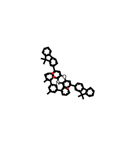 Cc1cc(-c2ccccc2C)c(N2c3ccc(-c4ccc5c(c4)C(C)(C)c4ccccc4-5)cc3Oc3cc(-c4ccc5c(c4)C(C)(C)c4ccccc4-5)ccc32)c(-c2ccccc2C)c1